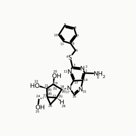 Nc1nc(SCc2ccccc2)nc2c1ncn2[C@H]1[C@H](O)[C@H](O)[C@]2(CO)C[C@H]12